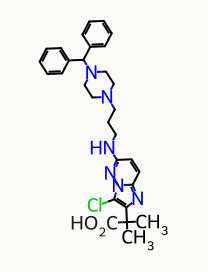 CC(C)(C(=O)O)c1nc2ccc(NCCCN3CCN(C(c4ccccc4)c4ccccc4)CC3)nn2c1Cl